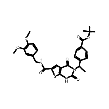 COc1ccc(CNC(=O)c2cc3c(=O)n(C(C)c4ccc(C(=O)OC(C)(C)C)cc4)c(=O)[nH]c3s2)cc1OC